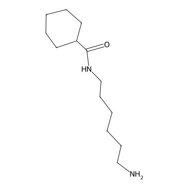 NCCCCCCNC(=O)C1CCCCC1